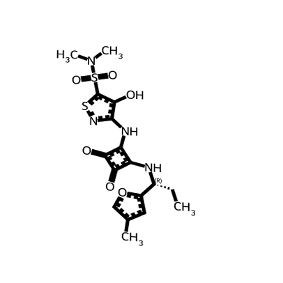 CC[C@@H](Nc1c(Nc2nsc(S(=O)(=O)N(C)C)c2O)c(=O)c1=O)c1cc(C)co1